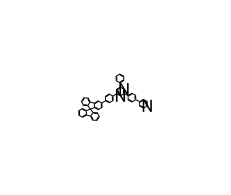 c1ccc(-c2cc(-c3ccc(-c4ccc5c(c4)-c4ccccc4C54c5ccccc5-c5ccccc54)cc3)nc(-c3ccc(-c4ccncc4)cc3)n2)cc1